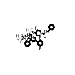 CN(C(=O)N1CC(c2cc(F)ccc2F)=CC1(CO[Si](C)(C)C)c1ccccc1)C1CCN(C(=O)OCc2ccccc2)CC1F